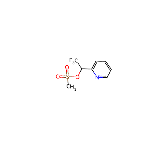 CS(=O)(=O)OC(c1ccccn1)C(F)(F)F